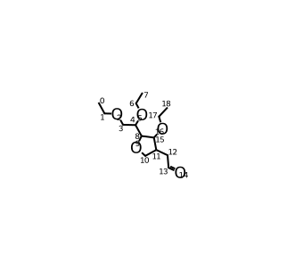 CCOCC(OCC)C1OCC(CC=O)C1OCC